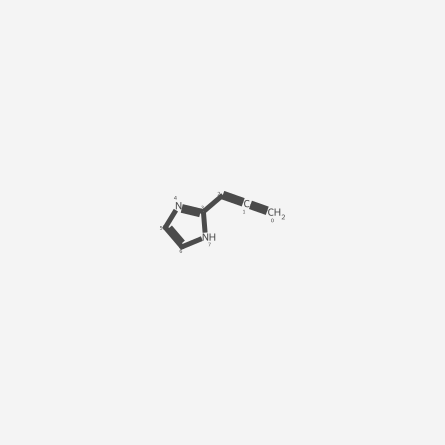 C=C=Cc1ncc[nH]1